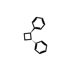 c1ccc([C@@H]2CC[C@H]2c2ccccc2)cc1